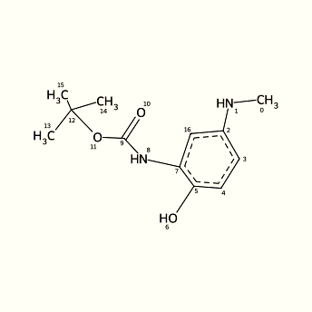 CNc1ccc(O)c(NC(=O)OC(C)(C)C)c1